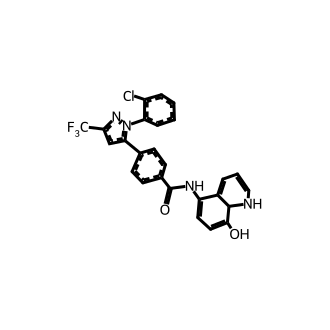 O=C(NC1=CC=C(O)C2NC=CC=C12)c1ccc(-c2cc(C(F)(F)F)nn2-c2ccccc2Cl)cc1